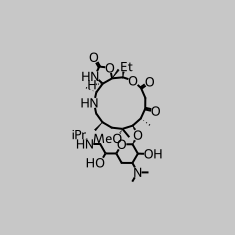 CC[C@H]1OC(=O)CC(=O)[C@H](C)[C@@H](O[C@@H]2OC(C(O)CNC(C)C)CC(N(C)C)C2O)[C@](C)(OC)C[C@@H](C)CN[C@H](C)[C@H]2NC(=O)O[C@@]21C